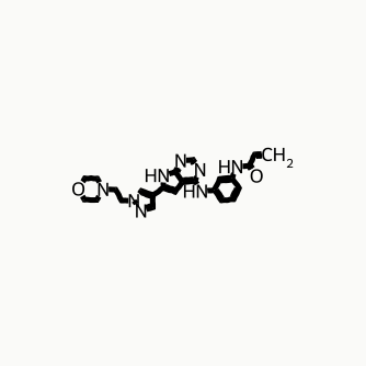 C=CC(=O)Nc1cccc(Nc2ncnc3[nH]c(-c4cnn(CCN5CCOCC5)c4)cc23)c1